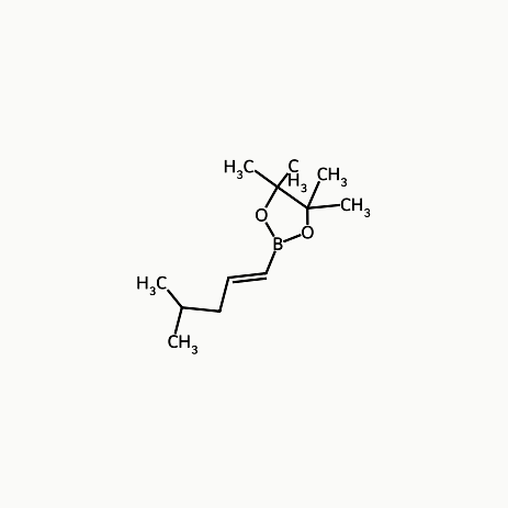 CC(C)C/C=C/B1OC(C)(C)C(C)(C)O1